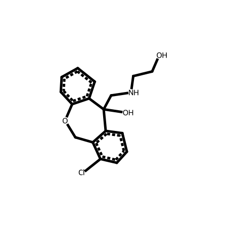 OCCNCC1(O)c2ccccc2OCc2c(Cl)cccc21